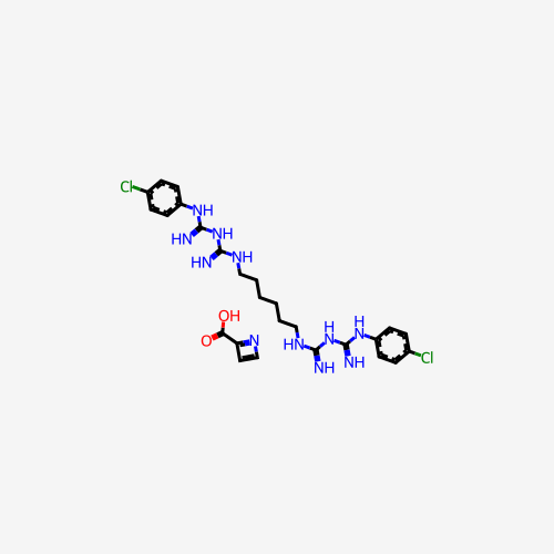 N=C(NCCCCCCNC(=N)NC(=N)Nc1ccc(Cl)cc1)NC(=N)Nc1ccc(Cl)cc1.O=C(O)C1=NC=C1